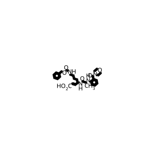 CC(Nc1ccccc1C(=O)N1CCOCC1)C(=O)NC(C=CC(=O)O)CCCCNC(=O)OCc1ccccc1